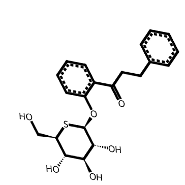 O=C(CCc1ccccc1)c1ccccc1O[C@@H]1S[C@H](CO)[C@@H](O)[C@H](O)[C@H]1O